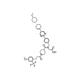 CC[C@H]1CC[C@H](C2CC=C(c3cnc(-c4ccc(CN(CC(=O)O)C(=O)C5CCN(C(=O)CCc6ccc(OC)cc6C(F)(F)F)CC5)cc4)nc3)CC2)CC1